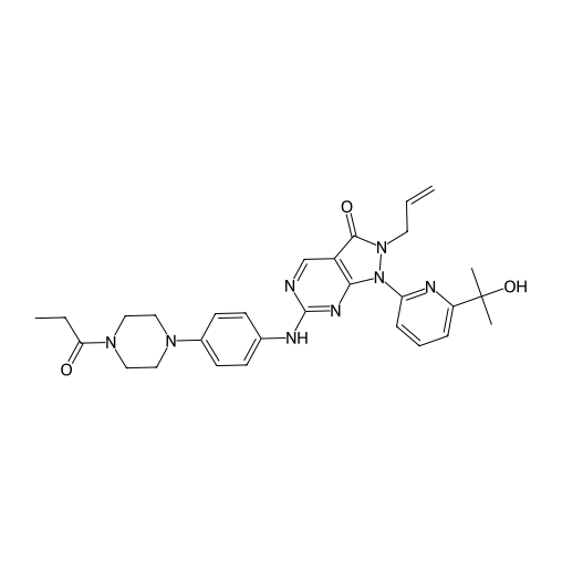 C=CCn1c(=O)c2cnc(Nc3ccc(N4CCN(C(=O)CC)CC4)cc3)nc2n1-c1cccc(C(C)(C)O)n1